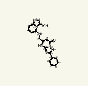 Cc1cnc2cccc(NCc3cc(=O)n4nc(-c5ccccc5)nc4[nH]3)n12